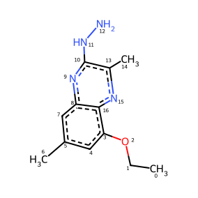 CCOc1cc(C)cc2nc(NN)c(C)nc12